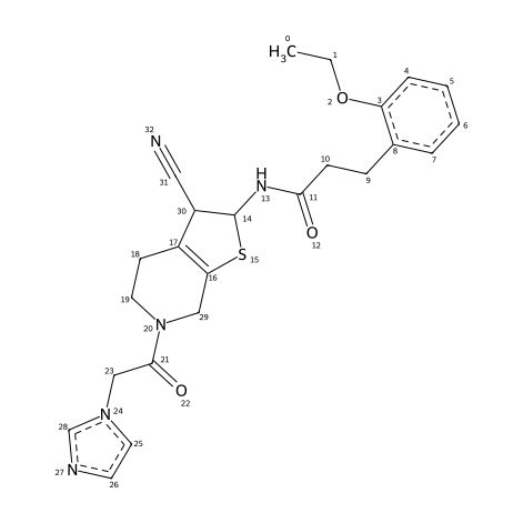 CCOc1ccccc1CCC(=O)NC1SC2=C(CCN(C(=O)Cn3ccnc3)C2)C1C#N